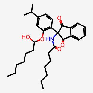 CCCCCCC(=O)NC1(c2ccc(C(C)C)cc2OC(O)CCCCCC)C(=O)c2ccccc2C1=O